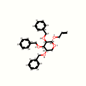 C=CCO[C@@H]1OC[C@@H](OCc2ccccc2)C(OCc2ccccc2)C1OCc1ccccc1